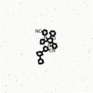 N#Cc1cccc(-n2c3ccccc3c3c4c(c5ccccc5n4-c4ccc(-c5cccc(-c6ccccc6)c5)cc4C#N)c4oc5ccccc5c4c32)c1